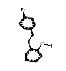 CCc1ccc(CCc2ccccc2OI)cc1